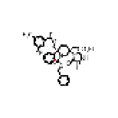 CCOC(=O)C[C@]1(N2CNNC2=O)CC[C@@](CO[C@H](C)c2cc(C(F)(F)F)cc(C(F)(F)F)c2)(c2ccccc2)N(C(=O)OCc2ccccc2)C1